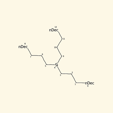 CCCCCCCCCCCCC[Si](CCCCCCCCCCCCC)CCCCCCCCCCCCC